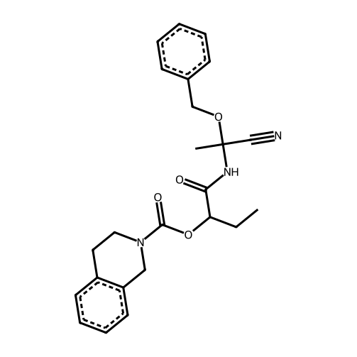 CCC(OC(=O)N1CCc2ccccc2C1)C(=O)NC(C)(C#N)OCc1ccccc1